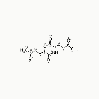 C[S+]([O-])CC[C@H]1NC(=O)[C@@H](CC[S+](C)[O-])OC1=O